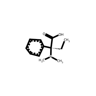 CC[C@@](C(=O)O)(c1ccccc1)N(C)C